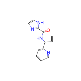 C=CC(NC(=O)c1ncc[nH]1)c1ccccn1